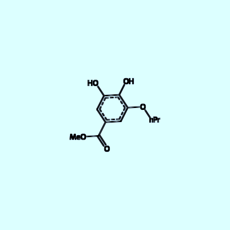 CCCOc1cc(C(=O)OC)cc(O)c1O